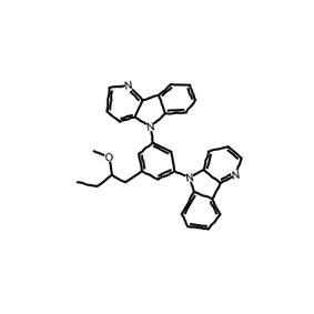 CCC(Cc1cc(-n2c3ccccc3c3ncccc32)cc(-n2c3ccccc3c3ncccc32)c1)OC